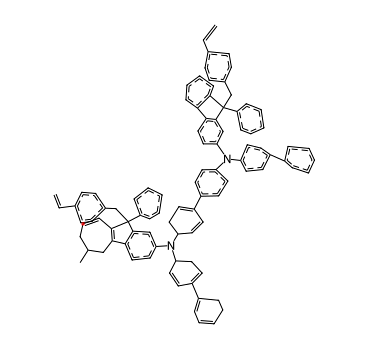 C=Cc1ccc(CC2(c3ccccc3)C3=C(CC(C)CC=C3)c3ccc(N(C4C=CC(C5=CC=CCC5)=CC4)C4C=CC(c5ccc(N(c6ccc(-c7ccccc7)cc6)c6ccc7c(c6)C(Cc6ccc(C=C)cc6)(c6ccccc6)c6ccccc6-7)cc5)=CC4)cc32)cc1